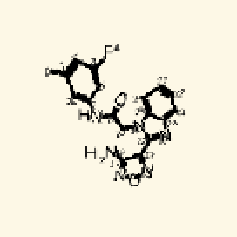 Cc1cc(F)cc(NC(=O)Cn2c(-c3nonc3N)nc3ccccc32)c1